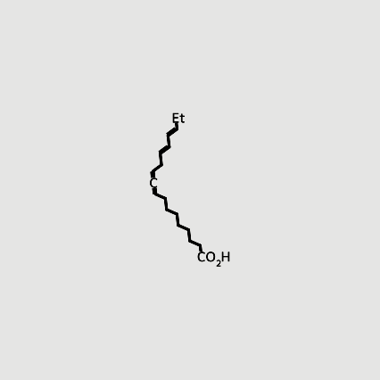 CCC=CC=CCC=C=CCCCCCCCC(=O)O